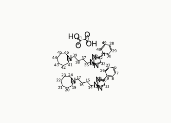 O=C(O)C(=O)O.c1ccc(-c2cnn(CCCCN3CCCCCC3)n2)cc1.c1ccc(-c2cnn(CCCCN3CCCCCC3)n2)cc1